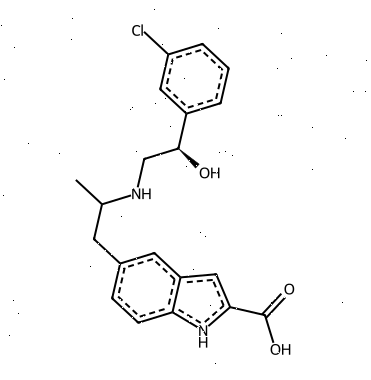 CC(Cc1ccc2[nH]c(C(=O)O)cc2c1)NC[C@H](O)c1cccc(Cl)c1